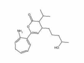 CC(O)CCCC1C=C(C2=CC=CCC=C2N)OC(=O)C1C(C)C